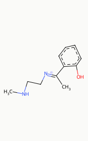 CNCC/N=C(\C)c1ccccc1O